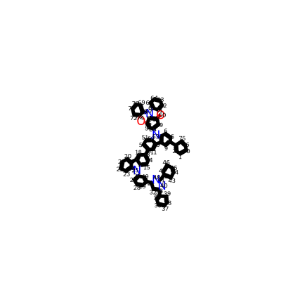 c1ccc(-c2ccc3c(c2)c2cc(-c4ccc5c(c4)c4ccccc4n5-c4cccc(-c5cc(-c6ccccc6)nc(-c6ccccc6)n5)c4)ccc2n3-c2cc3c4c(c2)Oc2ccccc2N4c2ccccc2O3)cc1